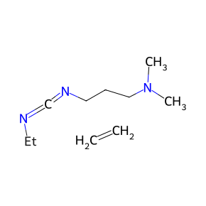 C=C.CCN=C=NCCCN(C)C